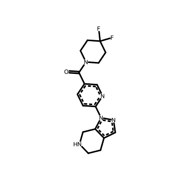 O=C(c1ccc(-n2ncc3c2CNCC3)nc1)N1CCC(F)(F)CC1